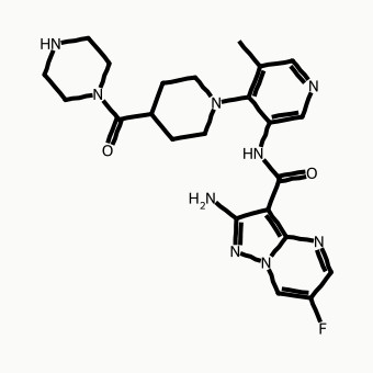 Cc1cncc(NC(=O)c2c(N)nn3cc(F)cnc23)c1N1CCC(C(=O)N2CCNCC2)CC1